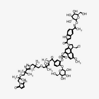 COc1ccc2c(OS(=O)(=O)Oc3cc(C(=O)N(C)CC(C)(C)COCC(C)(C)Cn4cc(C(C)(C)COC(C)(C)CN5C(=O)C=CC5=O)nn4)ccc3O[C@@H]3O[C@H](CO)[C@H](O)[C@H](O)[C@H]3O)cc3c(c2c1)[C@H](CCl)CN3C(=O)c1cc2cc(/C(C)=N/OC3O[C@H](CO)[C@H](O)[C@H](O)[C@H]3O)ccc2[nH]1